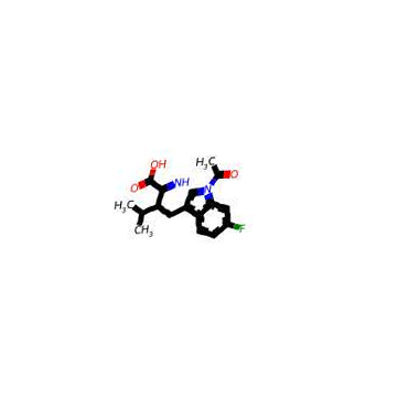 CC(=O)n1cc(CC(C(=N)C(=O)O)C(C)C)c2ccc(F)cc21